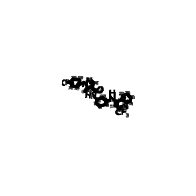 Cc1c(C(=O)N[C@@H]2CCC[C@H](Nc3cc(C(F)(F)F)nc4ccccc34)C2)cnn1-c1ccc(Cl)cc1